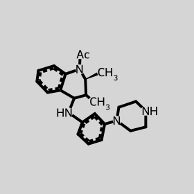 CC(=O)N1c2ccccc2C(Nc2cccc(N3CCNCC3)c2)C(C)[C@@H]1C